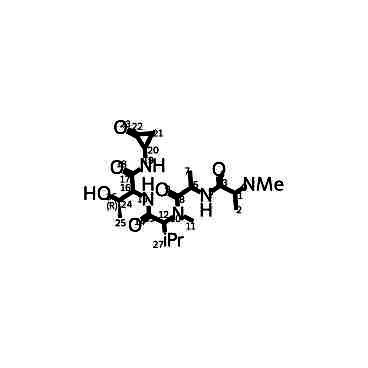 CNC(C)C(=O)NC(C)C(=O)N(C)C(C(=O)NC(C(=O)NC1CC1=O)[C@@H](C)O)C(C)C